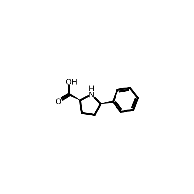 O=C(O)[C@@H]1CC[C@H](c2ccccc2)N1